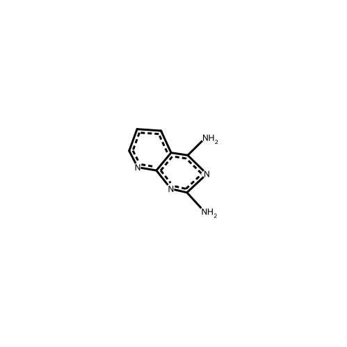 Nc1nc(N)c2cccnc2n1